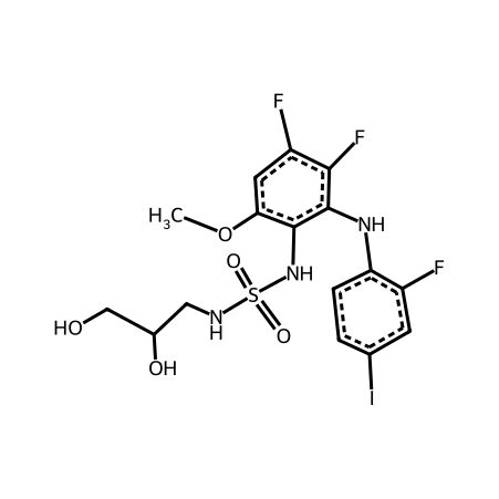 COc1cc(F)c(F)c(Nc2ccc(I)cc2F)c1NS(=O)(=O)NCC(O)CO